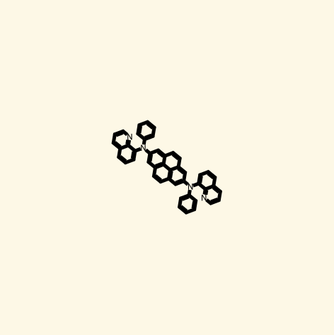 c1ccc(N(c2cc3ccc4cc(N(c5ccccc5)c5cccc6cccnc56)cc5ccc(c2)c3c45)c2cccc3cccnc23)cc1